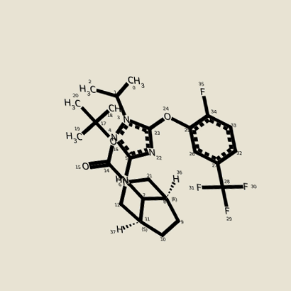 CC(C)n1nc(NC2[C@@H]3CC[C@H]2CN(C(=O)OC(C)(C)C)C3)nc1Oc1cc(C(F)(F)F)ccc1F